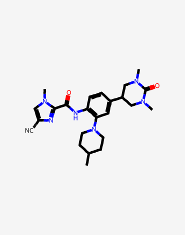 CC1CCN(c2cc(C3CN(C)C(=O)N(C)C3)ccc2NC(=O)c2nc(C#N)cn2C)CC1